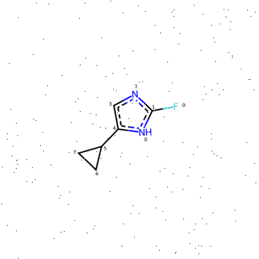 Fc1ncc(C2CC2)[nH]1